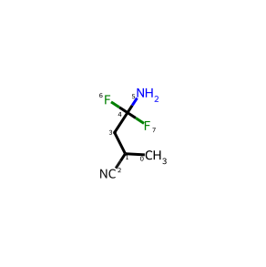 CC(C#N)CC(N)(F)F